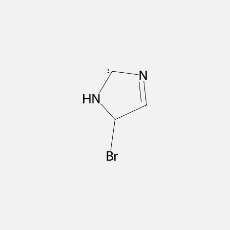 BrC1C=N[C]N1